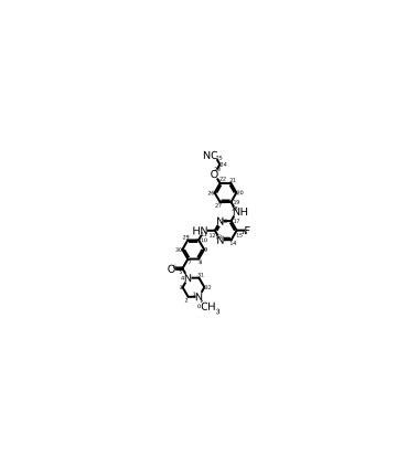 CN1CCN(C(=O)c2ccc(Nc3ncc(F)c(Nc4ccc(OCC#N)cc4)n3)cc2)CC1